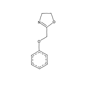 c1ccc(OCC2=NCCO2)cc1